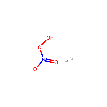 O=[N+]([O-])OO.[La+3]